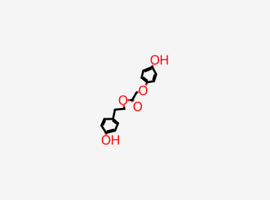 O=C(COc1ccc(O)cc1)OCCc1ccc(O)cc1